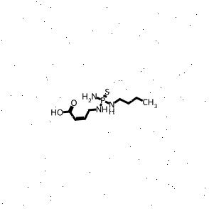 CCCCNP(N)(=S)NC/C=C\C(=O)O